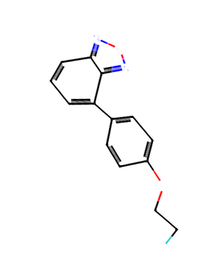 FCCOc1ccc(-c2cccc3nonc23)cc1